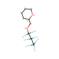 FC(F)(F)C(F)(F)C(F)(F)OCC1CCCCO1